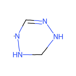 C1=NNCN[N]1